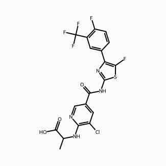 CC(Nc1ncc(C(=O)Nc2nc(-c3ccc(F)c(C(F)(F)F)c3)c(F)s2)cc1Cl)C(=O)O